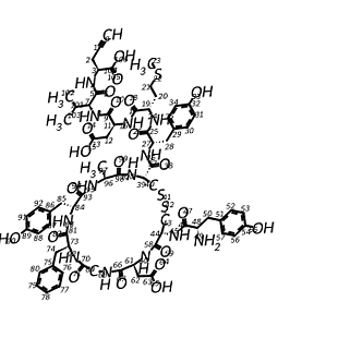 C#CC[C@H](NC(=O)[C@@H](NC(=O)[C@H](CC(=O)O)NC(=O)[C@H](CCSC)NC(=O)[C@H](Cc1ccc(O)cc1)NC(=O)[C@@H]1CSSC[C@H](NC(=O)[C@@H](N)Cc2ccc(O)cc2)C(=O)N[C@@H](CC(=O)O)C(=O)NCC(=O)N[C@@H](Cc2ccccc2)C(=O)N[C@H](Cc2ccc(O)cc2)C(=O)N[C@@H](C)C(=O)N1)C(C)C)C(=O)O